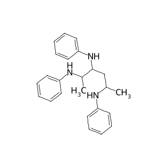 CC(CC(Nc1ccccc1)C(C)Nc1ccccc1)Nc1ccccc1